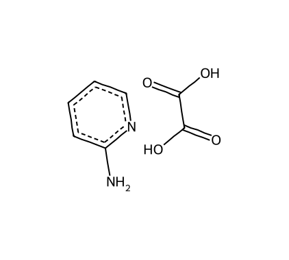 Nc1ccccn1.O=C(O)C(=O)O